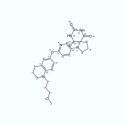 COCCCN1CCCc2cc(Oc3ccc(N4CCCC45C(=O)NC(=O)NC5=O)cn3)ccc21